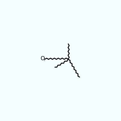 CCCCCCCCCCCC(CCCCCCCC)(CCCCCCCC)CCCCCCCCCCC[C]=O